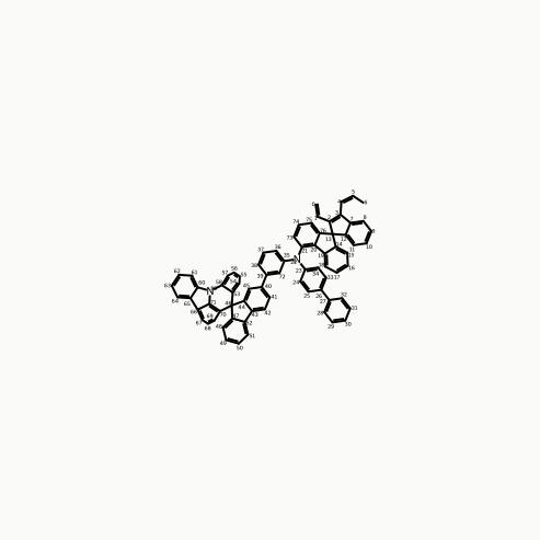 C=CC1=C(/C=C\C)c2ccccc2C12c1ccccc1-c1c(N(c3ccc(-c4ccccc4)cc3)c3cccc(-c4ccc5c(c4)C4(c6ccccc6-5)c5ccccc5-n5c6ccccc6c6cccc4c65)c3)cccc12